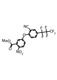 COC(=O)c1cc(Oc2ccc(C(F)(F)C(F)(F)C(F)(F)F)cc2C#N)ccc1[N+](=O)[O-]